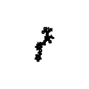 CCn1c(=C=C(C#N)C(=O)O)sc(=C=CNc2cccc(OCCN3CCCC3)c2)c1=O